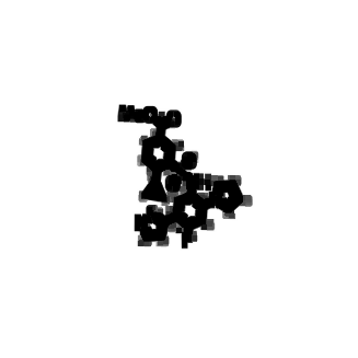 COC(=O)c1ccc(C2CC2)c(S(=O)(=O)Nc2cc(-c3ccns3)c(F)cc2-n2cccc2)c1